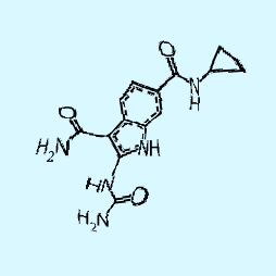 NC(=O)Nc1[nH]c2cc(C(=O)NC3CC3)ccc2c1C(N)=O